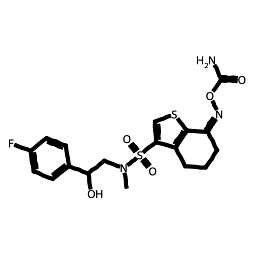 CN(CC(O)c1ccc(F)cc1)S(=O)(=O)c1csc2c1CCC/C2=N/OC(N)=O